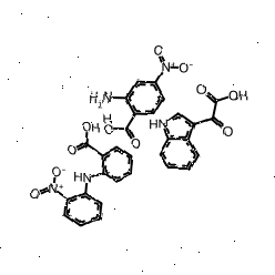 Nc1cc([N+](=O)[O-])ccc1C(=O)O.O=C(O)C(=O)c1c[nH]c2ccccc12.O=C(O)c1ccccc1Nc1ccccc1[N+](=O)[O-]